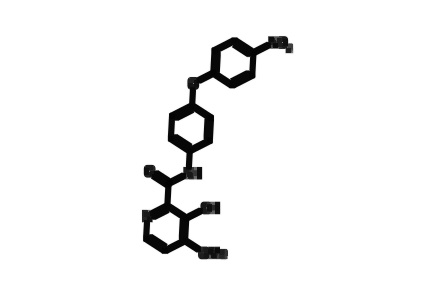 COc1ccnc(C(=O)Nc2ccc(Oc3ccc([N+](=O)[O-])cc3)cc2)c1O